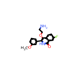 COc1cccc(-c2[nH]c(=O)c3cc(F)ccc3c2OCCN)c1